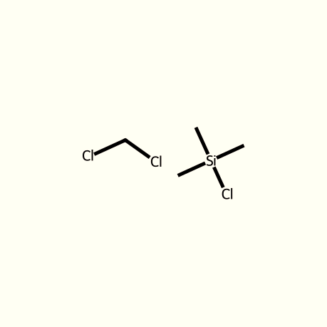 C[Si](C)(C)Cl.ClCCl